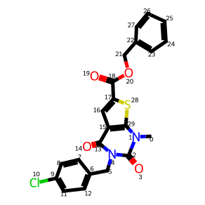 Cn1c(=O)n(Cc2ccc(Cl)cc2)c(=O)c2cc(C(=O)OCc3ccccc3)sc21